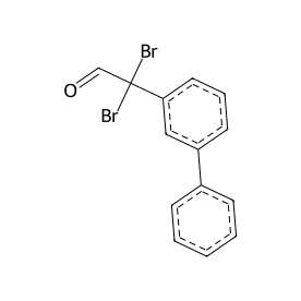 O=CC(Br)(Br)c1cccc(-c2ccccc2)c1